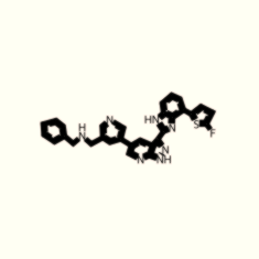 Fc1ccc(-c2cccc3[nH]c(-c4n[nH]c5ncc(-c6cncc(CNCc7ccccc7)c6)cc45)nc23)s1